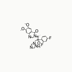 COc1cc2ncn([C@H](C)[C@](O)(Cn3cncn3)c3ccc(F)cc3F)c(=O)c2cc1OC